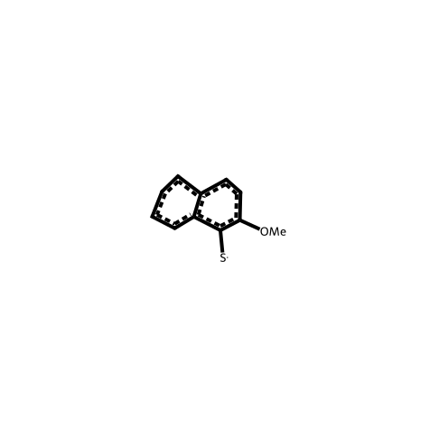 COc1ccc2ccccc2c1[S]